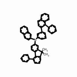 CC1(C)c2cc(N(c3cccc(-c4ccc5ccccc5c4-c4ccccc4)c3)c3ccc4ccccc4c3)ccc2-c2c(-c3ccccc3)cccc21